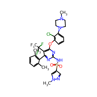 Cc1cccc(C)c1-c1nc(NS(=O)(=O)c2cnn(C)c2)nc(Oc2cccc(N3CCN(C)CC3)c2Cl)c1C(F)(F)C(F)(F)F